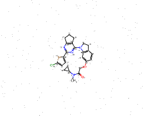 CN(C(=O)COc1ccc2c(c1)N(c1nc(-c3ccc(Cl)s3)nc3c1CCC3)CC2)C1CC1